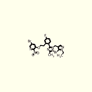 CCn1ncc(Cn2nc(C)nc2-c2ccc(F)cc2CCOc2cc(Br)cnc2[N+](=O)[O-])c1Br